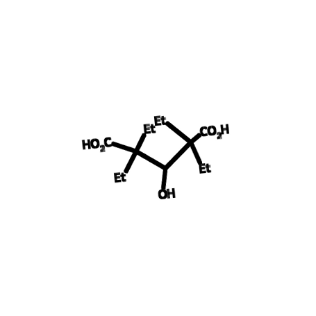 CCC(CC)(C(=O)O)C(O)C(CC)(CC)C(=O)O